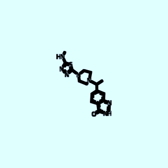 CNc1nnc(N2CCN(C(C)c3ccc4c(=O)[nH]cnc4c3)CC2)s1